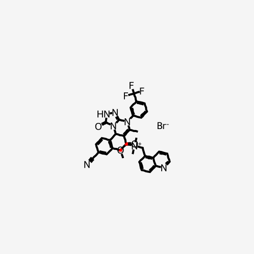 COC(=O)C1=C(C)N(c2cccc(C(F)(F)F)c2)c2n[nH]c(=O)n2C1c1ccc(C#N)cc1CC[N+](C)(C)Cc1cccc2ncccc12.[Br-]